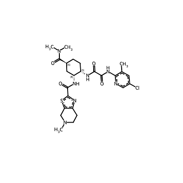 Cc1cc(Cl)cnc1NC(=O)C(=O)N[C@H]1CC[C@H](C(=O)N(C)C)C[C@H]1NC(=O)c1nc2c(s1)CN(C)CC2